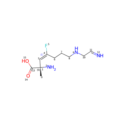 C[C@](N)(/C=C(/F)CCCNCC=N)C(=O)O